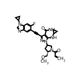 C=CC(=O)N1CC(n2nc(C#Cc3cc4ncn(C5CC5)c4cc3F)c(C(N)=O)c2NC2CC2)C[C@@H]1COC